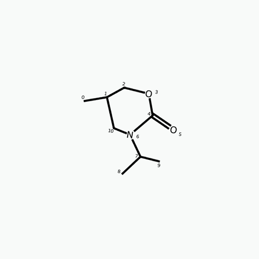 CC1COC(=O)N(C(C)C)C1